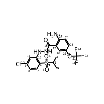 CC(C)S(=O)(=O)c1ccc(Cl)cc1NNC(=O)c1cc(OC(F)(F)F)ccc1N